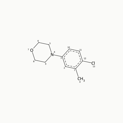 Cc1cc(N2CCOCC2)ccc1Cl